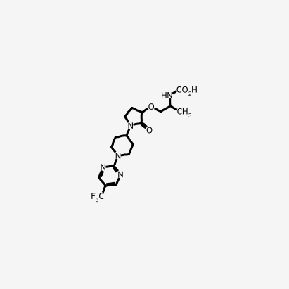 CC(COC1CCN(C2CCN(c3ncc(C(F)(F)F)cn3)CC2)C1=O)NC(=O)O